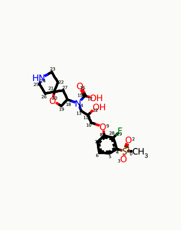 CS(=O)(=O)c1cccc(OCC(O)CN(C(=O)O)C2COC3(CCNCC3)C2)c1F